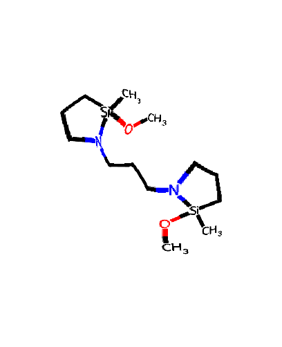 CO[Si]1(C)CCCN1CCCN1CCC[Si]1(C)OC